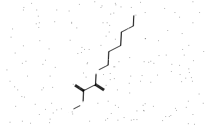 CCCCCCOC(=O)C(=O)OC